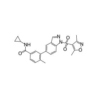 Cc1ccc(C(=O)NC2CC2)cc1-c1ccc2c(cnn2S(=O)(=O)c2c(C)noc2C)c1